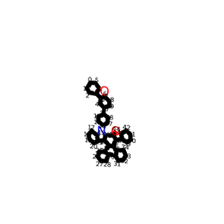 c1ccc2c(c1)oc1ccc(-c3ccc(-n4c5ccccc5c5c6c7ccccc7c7ccccc7c6c6c7ccccc7oc6c54)cc3)cc12